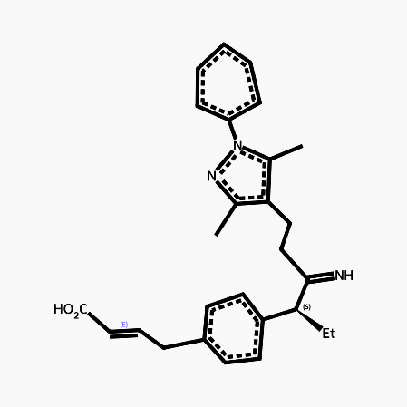 CC[C@H](C(=N)CCc1c(C)nn(-c2ccccc2)c1C)c1ccc(C/C=C/C(=O)O)cc1